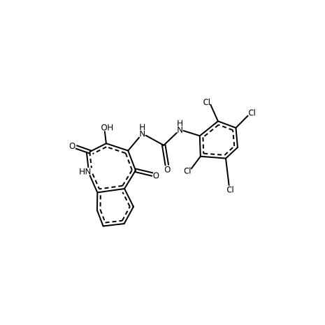 O=C(Nc1c(Cl)c(Cl)cc(Cl)c1Cl)Nc1c(O)c(=O)[nH]c2ccccc2c1=O